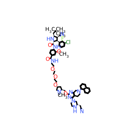 COc1cc(C(=O)NCCOCCOCCO[C@@H]2C[C@@H](COc3nc4c(c(N5CCN[C@@H](CC#N)C5)n3)CCN(c3cccc5ccccc35)C4)N(C)C2)ccc1NC(=O)[C@@H]1N[C@@H](CC(C)(C)C)[C@@H](C#N)[C@H]1c1cccc(Cl)c1F